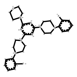 Fc1ccccc1N1CCN(c2nc(N3CCOCC3)nc(N3CCN(c4ccccc4F)CC3)n2)CC1